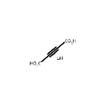 O=C(O)C#CC(=O)O.[LiH]